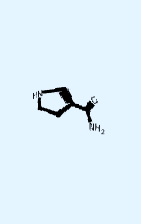 NC(=O)C1=[C]NCC1